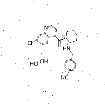 Cl.Cl.N#Cc1ccc(CN[C@H]2CCCC[C@@H]2Nc2ccnc3cc(Cl)ccc23)cc1